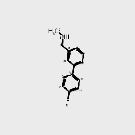 CNCc1cccc(-c2ccc(F)cc2)c1